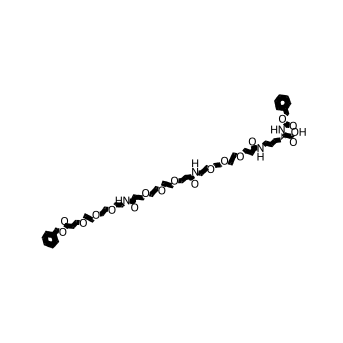 O=C(CCOCCOCCOCCNC(=O)CCOCCOCCOCCC(=O)NCCOCCOCCOCCC(=O)OCc1ccccc1)NCCCC[C@H](NC(=O)OCc1ccccc1)C(=O)O